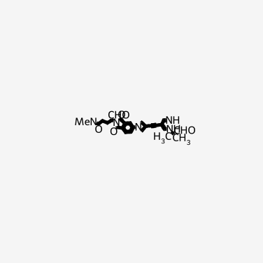 CNC(=O)CCC(C=O)N1C(=O)c2ccc(N3CC(C#C/C(C=N)=C/NC(C)(C)C=O)C3)cc2C1=O